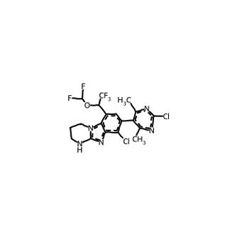 Cc1nc(Cl)nc(C)c1-c1cc(C(OC(F)F)C(F)(F)F)c2c(nc3n2CCCN3)c1Cl